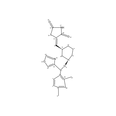 Cc1ccc(C(O[C@@H]2CCC[C@H](C=C3SC(=O)NC3=O)C2)c2cocn2)c(C)c1